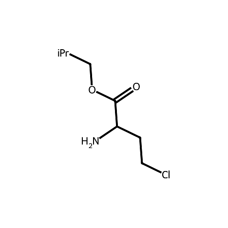 CC(C)COC(=O)C(N)CCCl